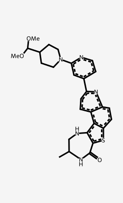 COC(OC)C1CCN(c2cc(-c3ccc4c(ccc5sc6c(c54)NCC(C)NC6=O)n3)ccn2)CC1